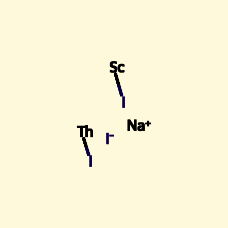 [I-].[I][Th].[Na+].[Sc][I]